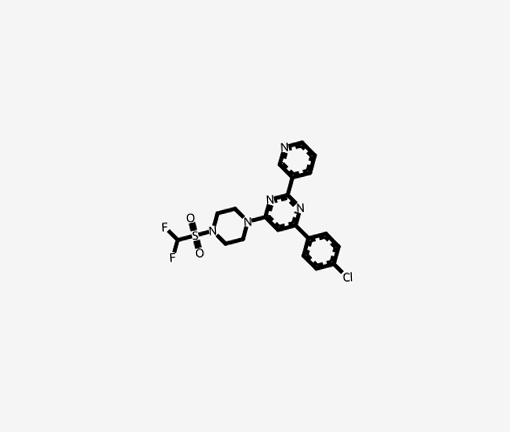 O=S(=O)(C(F)F)N1CCN(c2cc(-c3ccc(Cl)cc3)nc(-c3cccnc3)n2)CC1